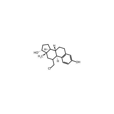 C[C@]12CC(CCl)[C@@H]3c4ccc(O)cc4CC[C@H]3[C@@H]1CC[C@H]2O